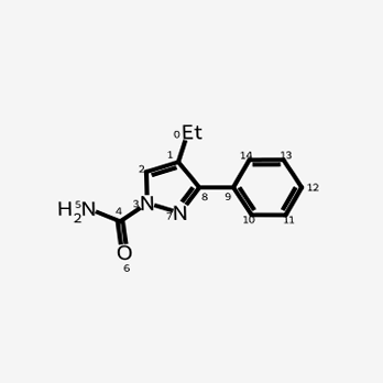 CCc1cn(C(N)=O)nc1-c1ccccc1